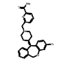 O=C(O)c1cccc(CN2CCC(=C3c4ccccc4COc4cc(Cl)ccc43)CC2)n1